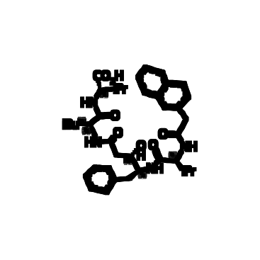 CC[C@H](C)[C@H](NC(=O)C[C@H](O)[C@H](Cc1ccccc1)NC(=O)[C@@H](NC(=O)Cc1ccc2ccccc2c1)C(C)C)C(=O)N[C@H](C(=O)O)C(C)C